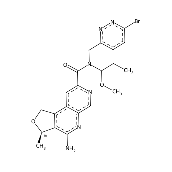 CCC(OC)N(Cc1ccc(Br)nn1)C(=O)c1cc2c3c(c(N)nc2cn1)[C@@H](C)OC3